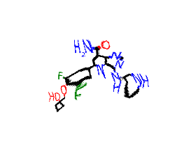 NC(=O)c1cc(-c2cc(F)c(OCC3(O)CCC3)c(F)c2)nc2c(N[C@H]3CCCNC3)ncnc12